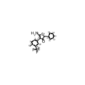 Cc1ccc(C2=C(N)SC(c3ccccc3)C2=O)cc1C(F)(F)F